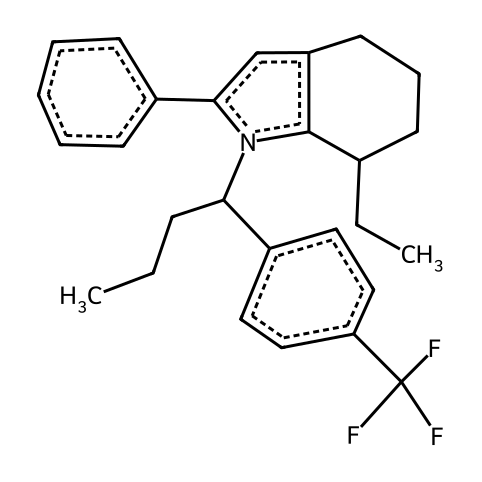 CCCC(c1ccc(C(F)(F)F)cc1)n1c(-c2ccccc2)cc2c1C(CC)CCC2